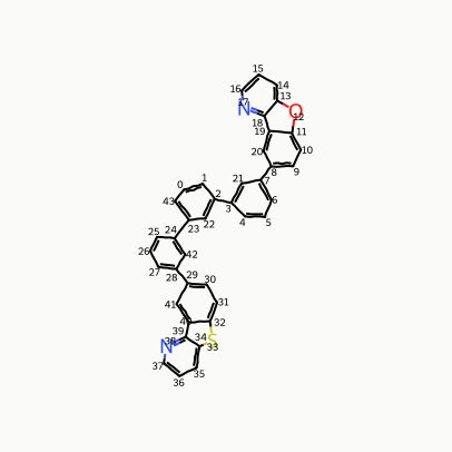 c1cc(-c2cccc(-c3ccc4oc5cccnc5c4c3)c2)cc(-c2cccc(-c3ccc4sc5cccnc5c4c3)c2)c1